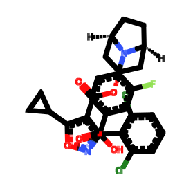 O=C(O)c1ccc(N2[C@@H]3CC[C@H]2C[C@H](OC(=O)c2c(-c4c(Cl)cccc4Cl)noc2C2CC2)C3)c(F)c1